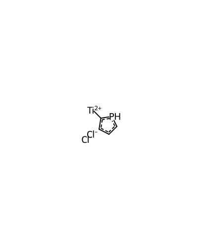 [Cl-].[Cl-].[Ti+2][c]1ccc[pH]1